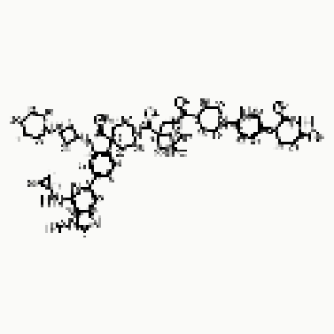 CC(C)n1cnc2cc(-c3ccc4c(c3)N([C@H]3C[C@@H](N5CCCCC5)C3)C(=O)C43CCN(C(=O)C45CN(C(=O)C6CCN(c7ccc(C8CCC(=O)NC8=O)cn7)CC6)CC(F)(C4)C5)CC3)nc(NC3CC3)c21